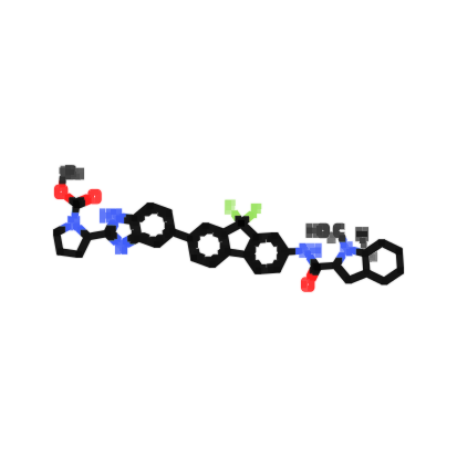 CC(C)(C)OC(=O)N1CCCC1c1nc2cc(-c3ccc4c(c3)C(F)(F)c3cc(NC(=O)C5CC6CCCC[C@@H]6N5C(=O)O)ccc3-4)ccc2[nH]1